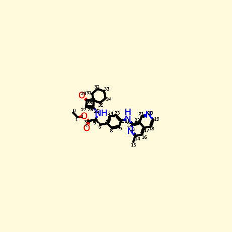 CCOC(=O)[C@H](Cc1ccc(Nc2nc(C)cc3ccncc23)cc1)NC1=CC(=O)C12CCCCC2